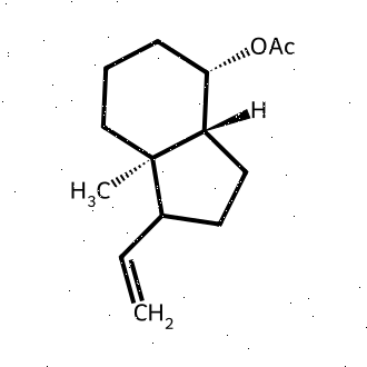 C=CC1CC[C@H]2[C@@H](OC(C)=O)CCC[C@]12C